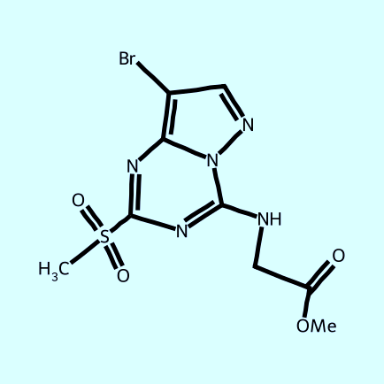 COC(=O)CNc1nc(S(C)(=O)=O)nc2c(Br)cnn12